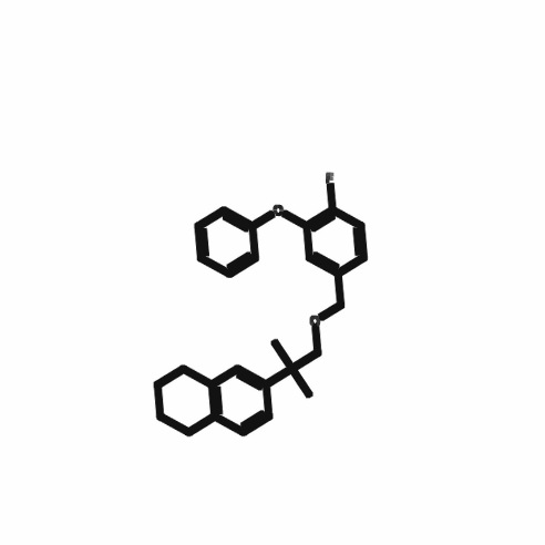 CC(C)(COCc1ccc(F)c(Oc2ccccc2)c1)c1ccc2c(c1)CCCC2